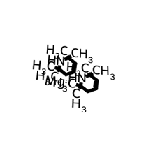 CC1(C)C=CCC(C)(C)N1.CC1(C)C=CCC(C)(C)N1.[Mg]